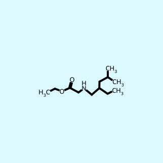 CCOC(=O)CNCC(CC)CC(C)C